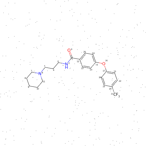 O=C(NCCCN1CCCCC1)c1ccc(Oc2ccc(C(F)(F)F)cc2)cc1